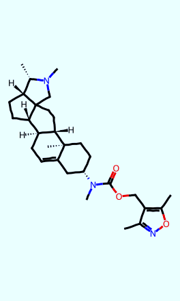 Cc1noc(C)c1COC(=O)N(C)[C@H]1CC[C@@]2(C)C(=CC[C@H]3[C@@H]4CC[C@@H]5[C@H](C)N(C)CC54CC[C@@H]32)C1